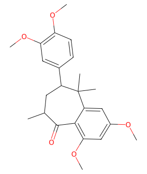 COc1cc(OC)c2c(c1)C(C)(C)C(c1ccc(OC)c(OC)c1)CC(C)C2=O